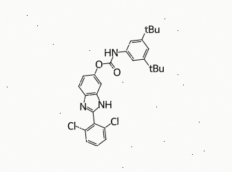 CC(C)(C)c1cc(NC(=O)Oc2ccc3nc(-c4c(Cl)cccc4Cl)[nH]c3c2)cc(C(C)(C)C)c1